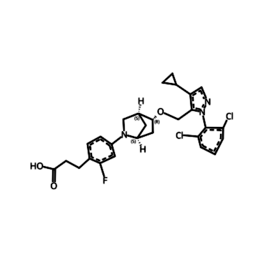 O=C(O)CCc1ccc(N2C[C@@H]3C[C@H]2C[C@H]3OCc2c(C3CC3)cnn2-c2c(Cl)cccc2Cl)cc1F